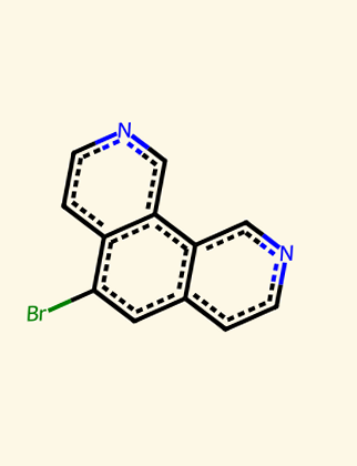 Brc1cc2ccncc2c2cnccc12